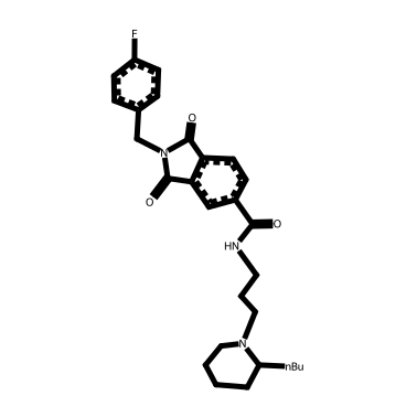 CCCCC1CCCCN1CCCNC(=O)c1ccc2c(c1)C(=O)N(Cc1ccc(F)cc1)C2=O